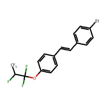 CCc1ccc(C=Cc2ccc(OC(F)(F)C(F)C(F)(F)F)cc2)cc1